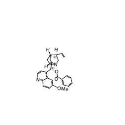 C=C[C@H]1CN2CC[C@H]1C[C@H]2[C@H](OC(=O)c1ccccc1)c1ccnc2ccc(OC)cc12